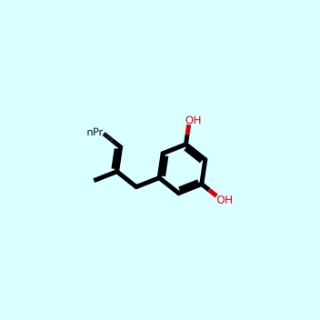 CCCC=C(C)Cc1cc(O)cc(O)c1